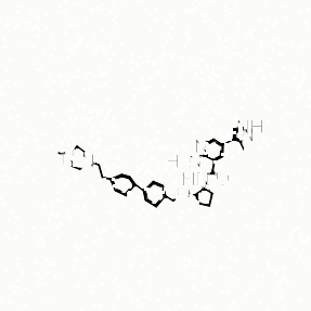 Cc1n[nH]cc1-c1cnc(N)c(C(=O)N[C@H]2CCC[C@@H]2OCc2ccc(-c3ccc(CCN4CCN(C)CC4)cc3)cc2)c1